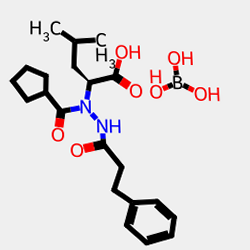 CC(C)C[C@@H](C(=O)O)N(NC(=O)CCc1ccccc1)C(=O)C1CCCC1.OB(O)O